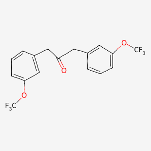 O=C(Cc1cccc(OC(F)(F)F)c1)Cc1cccc(OC(F)(F)F)c1